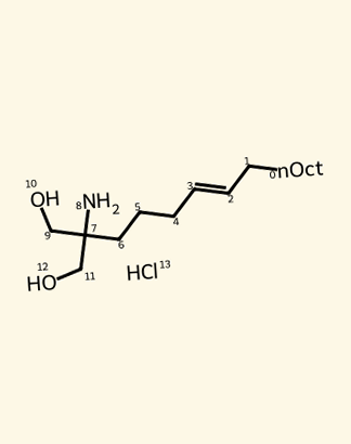 CCCCCCCCC/C=C/CCCC(N)(CO)CO.Cl